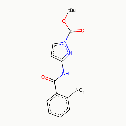 CC(C)(C)OC(=O)n1ccc(NC(=O)c2ccccc2[N+](=O)[O-])n1